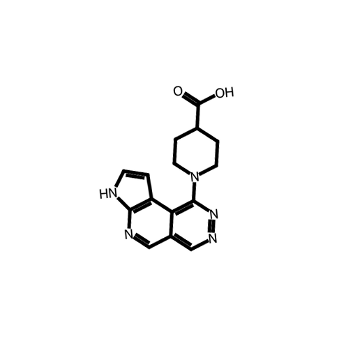 O=C(O)C1CCN(c2nncc3cnc4[nH]ccc4c23)CC1